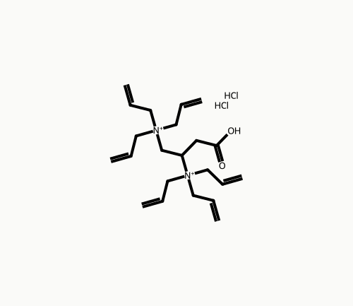 C=CC[N+](CC=C)(CC=C)CC(CC(=O)O)[N+](CC=C)(CC=C)CC=C.Cl.Cl